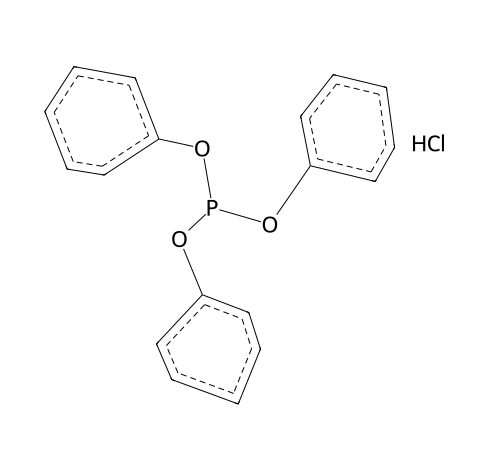 Cl.c1ccc(OP(Oc2ccccc2)Oc2ccccc2)cc1